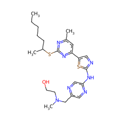 CCCCCC(C)Sc1nc(C)cc(-c2cnc(Nc3cnc(CN(C)CCO)cn3)s2)n1